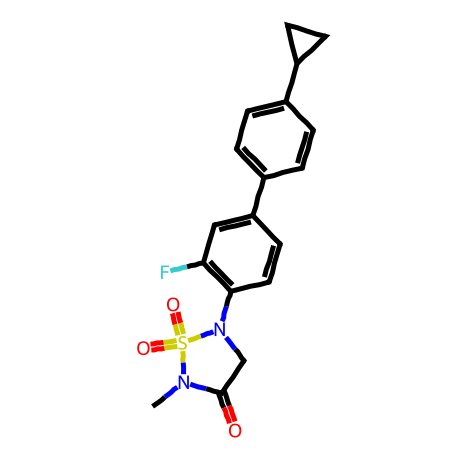 CN1C(=O)CN(c2ccc(-c3ccc(C4CC4)cc3)cc2F)S1(=O)=O